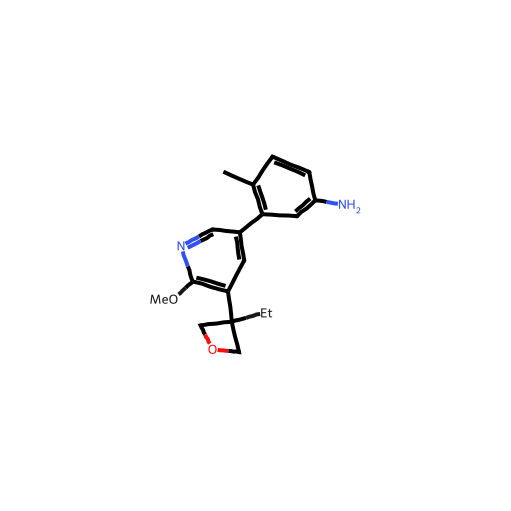 CCC1(c2cc(-c3cc(N)ccc3C)cnc2OC)COC1